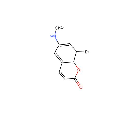 CCC1C=C(NC=O)C=C2C=CC(=O)OC21